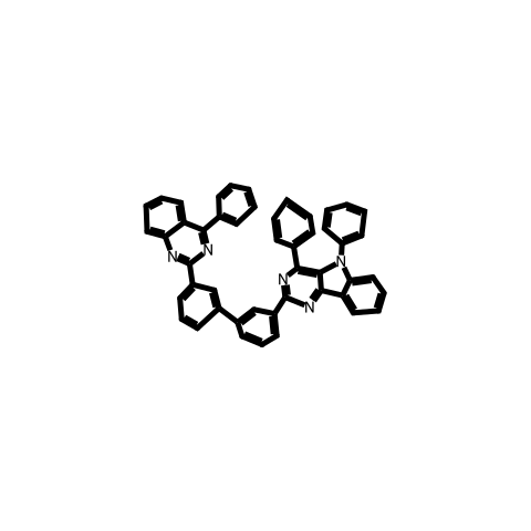 c1ccc(-c2nc(-c3cccc(-c4cccc(-c5nc(-c6ccccc6)c6c(n5)c5ccccc5n6-c5ccccc5)c4)c3)nc3ccccc23)cc1